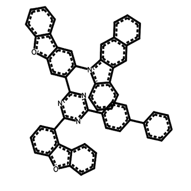 c1ccc(-c2ccc(-c3nc(-c4cc5oc6ccccc6c5cc4-n4c5ccccc5c5cc6ccccc6cc54)nc(-c4cccc5oc6ccccc6c45)n3)cc2)cc1